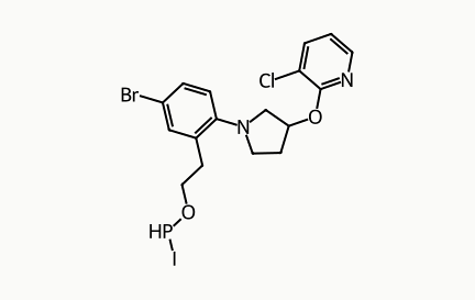 Clc1cccnc1OC1CCN(c2ccc(Br)cc2CCOPI)C1